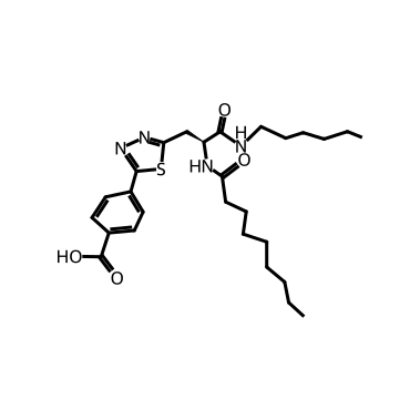 CCCCCCCCC(=O)N[C@@H](Cc1nnc(-c2ccc(C(=O)O)cc2)s1)C(=O)NCCCCCC